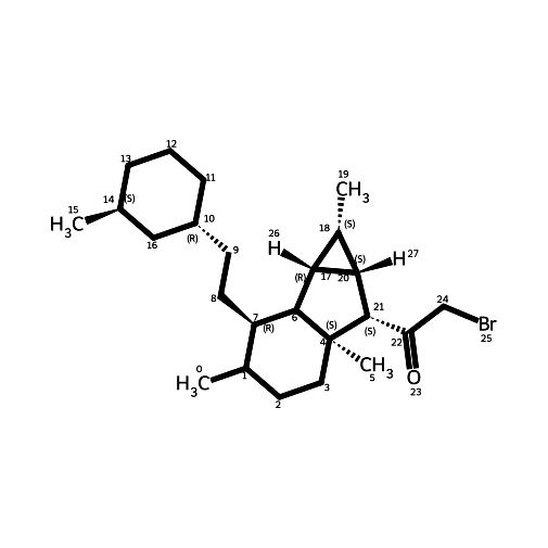 CC1CC[C@@]2(C)C([C@@H]1CC[C@H]1CCC[C@H](C)C1)[C@@H]1[C@H](C)[C@@H]1[C@@H]2C(=O)CBr